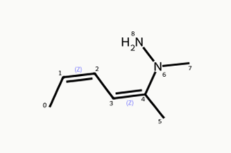 C/C=C\C=C(\C)N(C)N